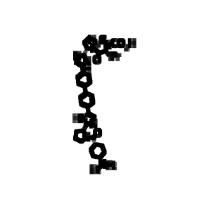 CCN(CC)[C@H]1CC[C@@H](C(=O)N2CCC[C@H]2c2ncc(-c3ccc(-c4ccc(-c5cnc([C@@H]6CCCN6C(=O)[C@H](C(C)C)N(C)C(=O)O)[nH]5)cc4)cc3)[nH]2)CC1